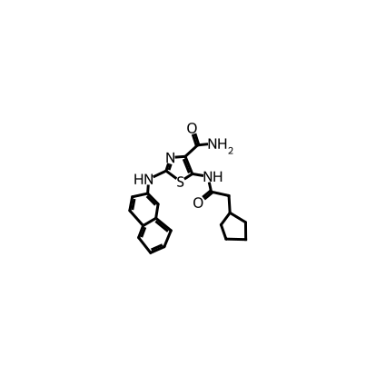 NC(=O)c1nc(Nc2ccc3ccccc3c2)sc1NC(=O)CC1CCCC1